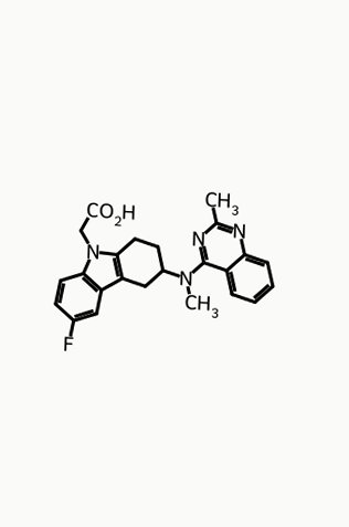 Cc1nc(N(C)C2CCc3c(c4cc(F)ccc4n3CC(=O)O)C2)c2ccccc2n1